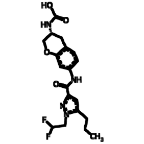 CCCc1cc(C(=O)Nc2ccc3c(c2)OC[C@H](NC(=O)O)C3)nn1CC(F)F